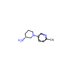 N#Cc1ccc(N2CCC[C@H](N)C2)cn1